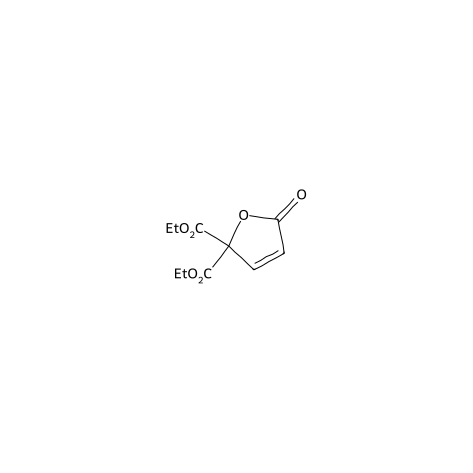 CCOC(=O)C1(C(=O)OCC)C=CC(=O)O1